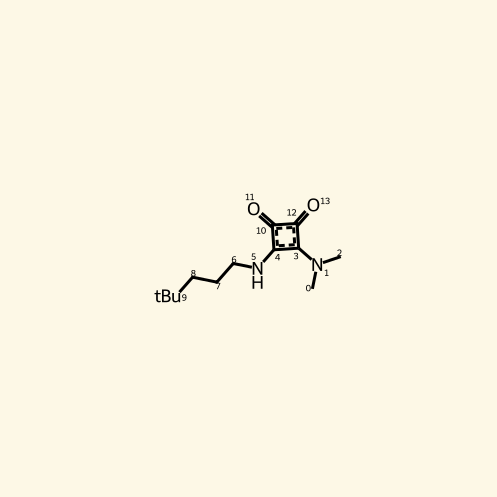 CN(C)c1c(NCCCC(C)(C)C)c(=O)c1=O